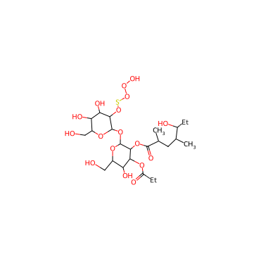 CCC(=O)OC1C(O)C(CO)OC(OC2OC(CO)C(O)C(O)C2OSOOO)C1OC(=O)C(C)CC(C)C(O)CC